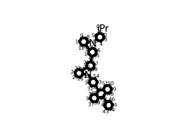 CC(C)c1cccc(-n2c3ccccc3c3cc(-c4ccc5c(c4)c4ccccc4n5-c4ccc(-c5c6ccccc6c(-c6ccccc6)c6ccccc56)cc4)ccc32)c1